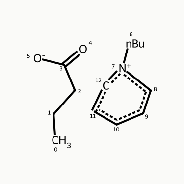 CCCC(=O)[O-].CCCC[n+]1ccccc1